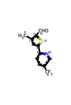 Cc1cc(-c2ccc(C(F)(F)F)cn2)sc1C=O